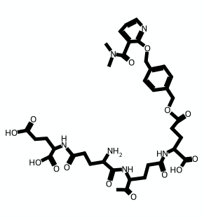 CC(=O)C(CCC(=O)NC(CCC(=O)OCc1ccc(COc2ncccc2C(=O)N(C)C)cc1)C(=O)O)NC(=O)C(N)CCC(=O)NC(CCC(=O)O)C(=O)O